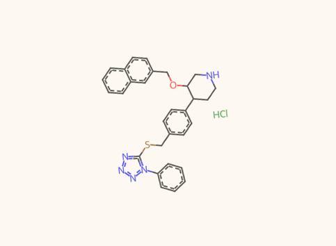 Cl.c1ccc(-n2nnnc2SCc2ccc(C3CCNCC3OCc3ccc4ccccc4c3)cc2)cc1